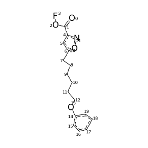 O=C(OF)c1cc(CCCCCCOc2ccccc2)on1